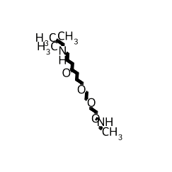 CCNOCCOCCOCCCC(=O)CCCNCC(C)(C)C